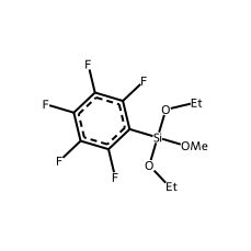 CCO[Si](OC)(OCC)c1c(F)c(F)c(F)c(F)c1F